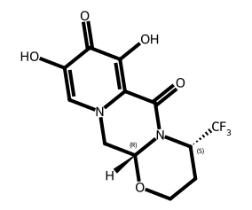 O=C1c2c(O)c(=O)c(O)cn2C[C@H]2OCC[C@@H](C(F)(F)F)N12